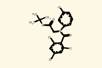 CC(C)(C)OC(=O)CN(C(=O)c1c(Cl)cc(Cl)cc1Cl)c1cccc(Cl)c1